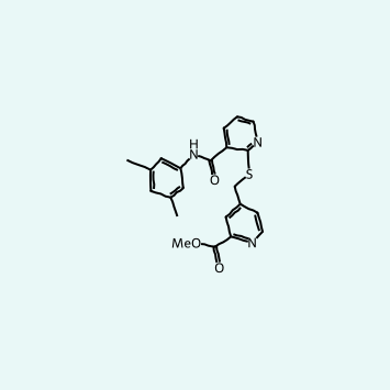 COC(=O)c1cc(CSc2ncccc2C(=O)Nc2cc(C)cc(C)c2)ccn1